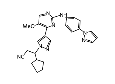 COc1cnc(Nc2ccc(-n3cccn3)cc2)nc1-c1cnn(C(CC#N)C2CCCC2)c1